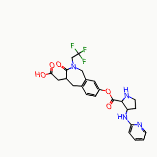 O=C(O)CC1Cc2ccc(OC(=O)C3NCCC3Nc3ccccn3)cc2CN(CC(F)(F)F)C1=O